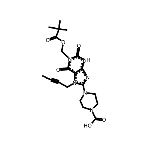 CC#CCn1c(N2CCN(C(=O)O)CC2)nc2[nH]c(=O)n(COC(=O)C(C)(C)C)c(=O)c21